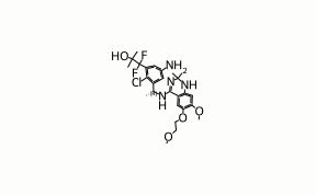 COCCOc1cc2c(cc1OC)NC(C)(C)N=C2N[C@H](C)c1cc(N)cc(C(F)(F)C(C)(C)O)c1Cl